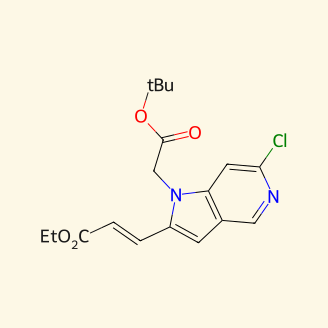 CCOC(=O)/C=C/c1cc2cnc(Cl)cc2n1CC(=O)OC(C)(C)C